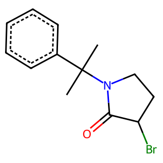 CC(C)(c1ccccc1)N1CCC(Br)C1=O